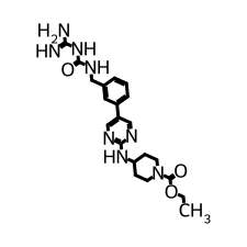 CCOC(=O)N1CCC(Nc2ncc(-c3cccc(CNC(=O)NC(=N)N)c3)cn2)CC1